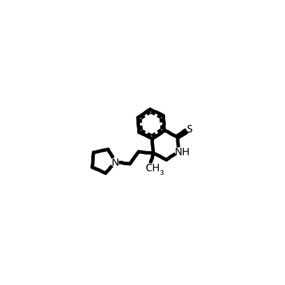 CC1(CCN2CCCC2)CNC(=S)c2ccccc21